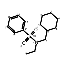 [CH2]CN(CC1CCCCC1)S(=O)(=O)c1ccccc1